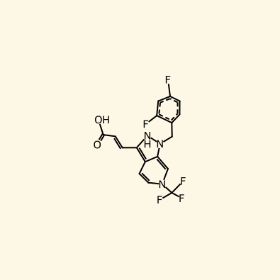 O=C(O)C=CC1=C2C=CN(C(F)(F)F)C=C2N(Cc2ccc(F)cc2F)N1